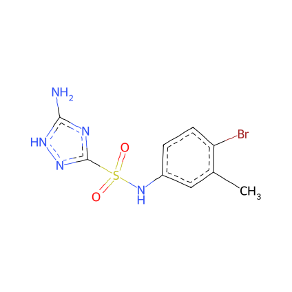 Cc1cc(NS(=O)(=O)c2n[nH]c(N)n2)ccc1Br